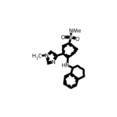 CNS(=O)(=O)c1ccc(NC2CCCc3ccccc32)c(-c2cn(C)cn2)c1